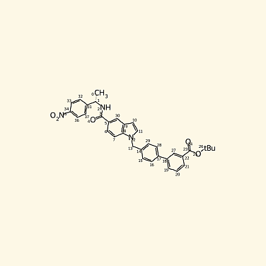 C[C@H](NC(=O)c1ccc2c(ccn2Cc2ccc(-c3cccc(C(=O)OC(C)(C)C)c3)cc2)c1)c1ccc([N+](=O)[O-])cc1